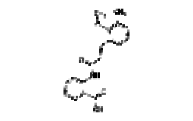 COc1c(C)cccc1/C=C/C(=O)Nc1ccccc1C(=O)O